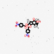 CC1=C2C(=C[C@@](C)(COC(=O)c3ccc([N+](=O)[O-])cc3)C2OC(=O)c2ccc([N+](=O)[O-])cc2)C(=O)C(C)(O)C12CC2